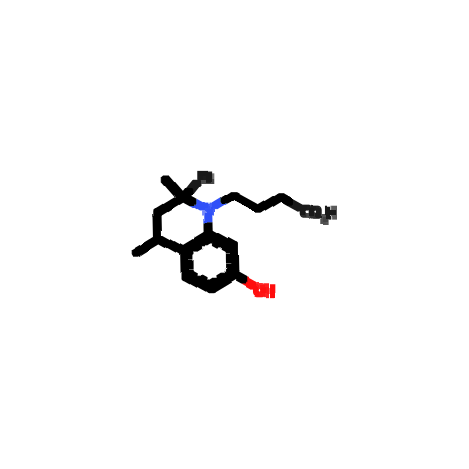 CCC1(C)CC(C)c2ccc(O)cc2N1CCCC(=O)O